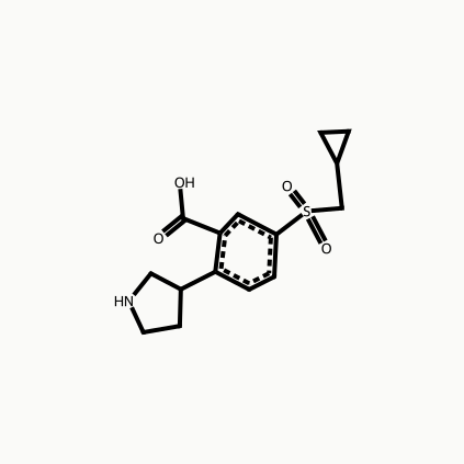 O=C(O)c1cc(S(=O)(=O)CC2CC2)ccc1C1CCNC1